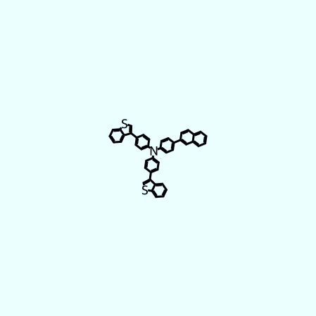 c1ccc2cc(-c3ccc(N(c4ccc(-c5csc6ccccc56)cc4)c4ccc(-c5csc6ccccc56)cc4)cc3)ccc2c1